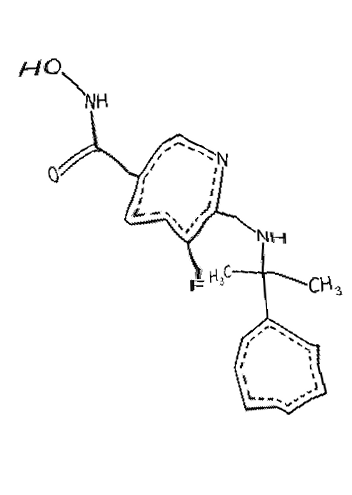 CC(C)(Nc1ncc(C(=O)NO)cc1F)c1ccccc1